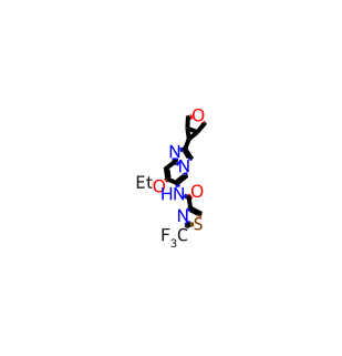 CCOc1cc2nc(C3C4COCC43)cn2cc1NC(=O)c1csc(C(F)(F)F)n1